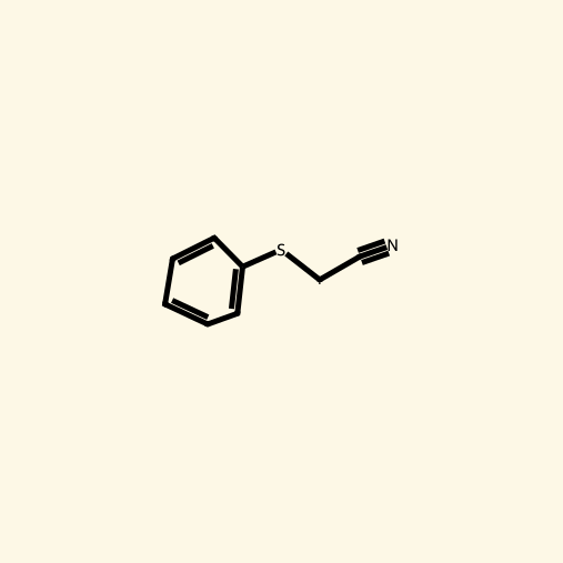 N#C[CH]Sc1ccccc1